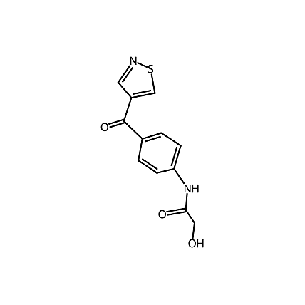 O=C(CO)Nc1ccc(C(=O)c2cnsc2)cc1